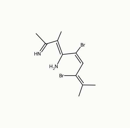 CC(=N)/C(C)=C(N)/C(Br)=C\C(Br)=C(C)C